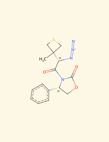 CC1([C@H](N=[N+]=[N-])C(=O)N2C(=O)OC[C@@H]2c2ccccc2)CSC1